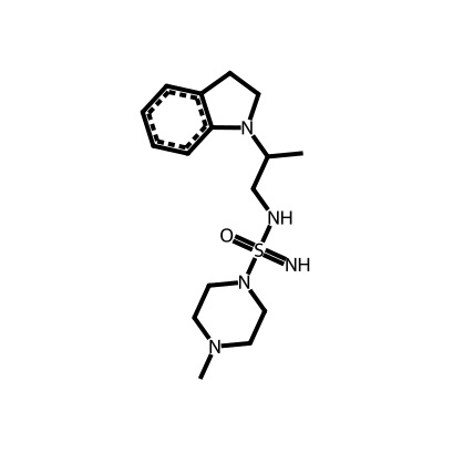 CC(CNS(=N)(=O)N1CCN(C)CC1)N1CCc2ccccc21